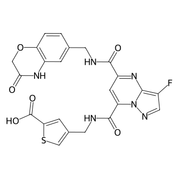 O=C1COc2ccc(CNC(=O)c3cc(C(=O)NCc4csc(C(=O)O)c4)n4ncc(F)c4n3)cc2N1